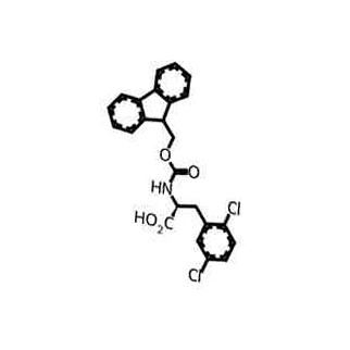 O=C(N[C@@H](Cc1cc(Cl)ccc1Cl)C(=O)O)OCC1c2ccccc2-c2ccccc21